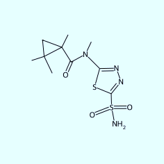 CN(C(=O)C1(C)CC1(C)C)c1nnc(S(N)(=O)=O)s1